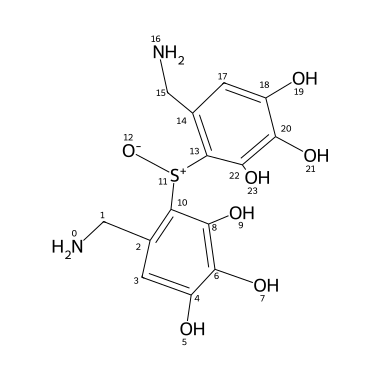 NCc1cc(O)c(O)c(O)c1[S+]([O-])c1c(CN)cc(O)c(O)c1O